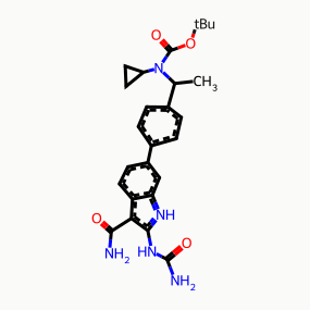 CC(c1ccc(-c2ccc3c(C(N)=O)c(NC(N)=O)[nH]c3c2)cc1)N(C(=O)OC(C)(C)C)C1CC1